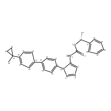 C[C@@H](OC(=O)Nc1cnnn1-c1ccc(-c2ccc(C3(C)CC3)cc2)cc1)c1ccccc1